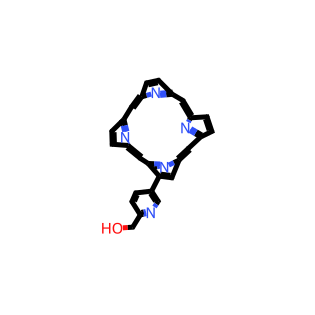 OCc1ccc(C2=CC3=CC4=NC(=CC5=NC(=CC6=NC(=CC2=N3)C=C6)C=C5)C=C4)cn1